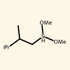 CO[SiH](CC(C)C(C)C)OC